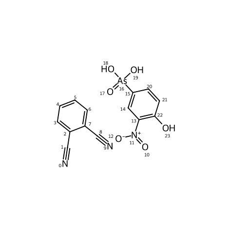 N#Cc1ccccc1C#N.O=[N+]([O-])c1cc([As](=O)(O)O)ccc1O